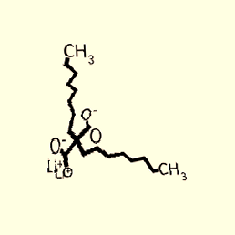 CCCCCCCCC(CCCCCCCC)(C(=O)[O-])C(=O)[O-].[Li+].[Li+]